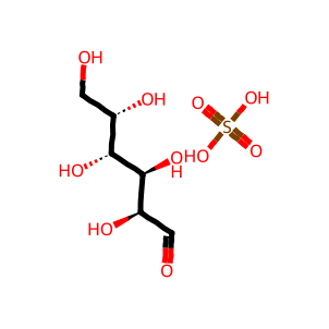 O=C[C@@H](O)[C@H](O)[C@H](O)[C@@H](O)CO.O=S(=O)(O)O